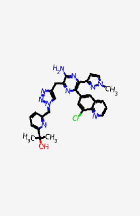 Cn1ccc(-c2nc(N)c(Cc3cn(Cc4cccc(C(C)(C)O)n4)nn3)nc2-c2cc(Cl)c3ncccc3c2)n1